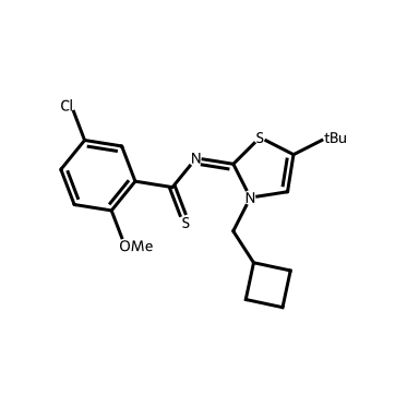 COc1ccc(Cl)cc1C(=S)N=c1sc(C(C)(C)C)cn1CC1CCC1